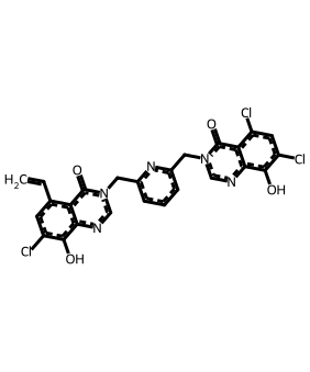 C=Cc1cc(Cl)c(O)c2ncn(Cc3cccc(Cn4cnc5c(O)c(Cl)cc(Cl)c5c4=O)n3)c(=O)c12